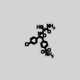 NC(=O)N(O)c1nc(-c2ccc(Cl)cc2)c(-c2ccc(S(N)(=O)=O)cc2)o1